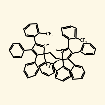 C[Si]1=C(c2ccccc2C(F)(F)F)C(c2ccccc2)=C(c2ccccc2)C1(CCC1(c2ccccc2C(F)(F)F)C(c2ccccc2)=C(c2ccccc2)C(c2ccccc2C(F)(F)F)=[Si]1C)c1ccccc1C(F)(F)F